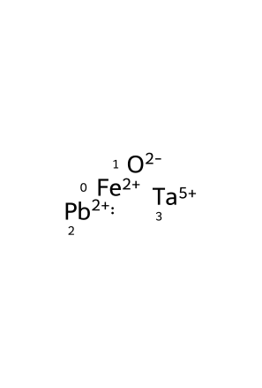 [Fe+2].[O-2].[Pb+2].[Ta+5]